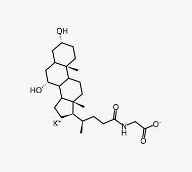 C[C@H](CCC(=O)NCC(=O)[O-])[C@H]1CCC2C3C(CC[C@@]21C)[C@@]1(C)CC[C@@H](O)CC1C[C@H]3O.[K+]